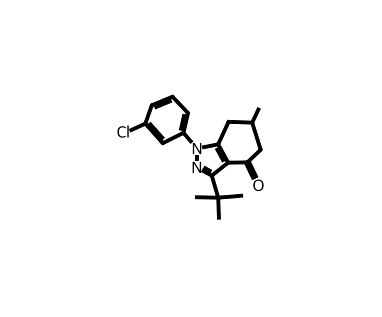 CC1CC(=O)c2c(C(C)(C)C)nn(-c3cccc(Cl)c3)c2C1